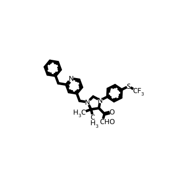 CC1(C)C(C(=O)C=O)N(c2ccc(SC(F)(F)F)cc2)CN1Cc1ccnc(Cc2ccccc2)c1